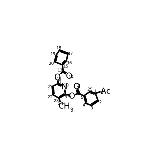 CC(=O)c1cccc(C(=O)Oc2nc(OC(=O)c3ccccc3)ccc2C)c1